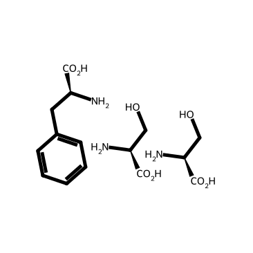 N[C@@H](CO)C(=O)O.N[C@@H](CO)C(=O)O.N[C@@H](Cc1ccccc1)C(=O)O